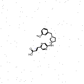 COc1cccc(CN2CC[C@@H](Nc3cnc(/C=C/C(=O)O)cn3)C2)c1